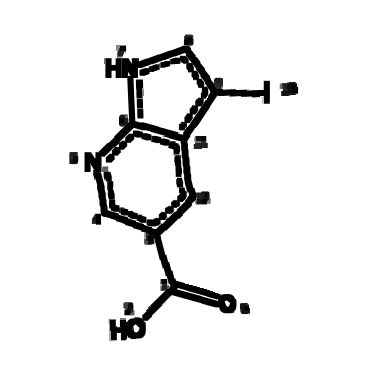 O=C(O)c1cnc2[nH]cc(I)c2c1